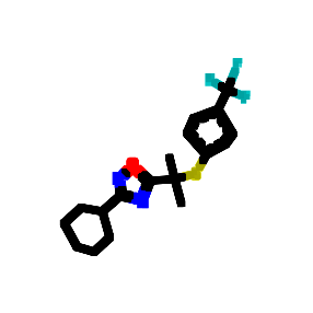 CC(C)(Sc1ccc(C(F)(F)F)cc1)c1nc(C2CCCCC2)no1